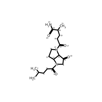 CC(C)CCC(=O)N1CC(=O)C2C1CCN2C(=O)[CH]CC(C)C(N)=O